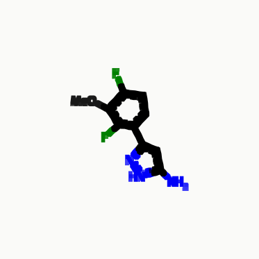 COc1c(F)ccc(-c2cc(N)[nH]n2)c1F